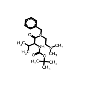 CC(C)C(NC(=O)OC(C)(C)C)C(=O)N(CCN(C)C)Cc1ccccc1